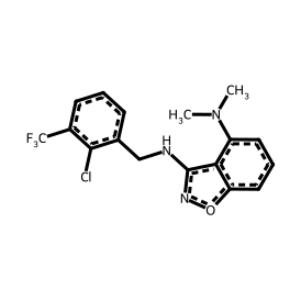 CN(C)c1cccc2onc(NCc3cccc(C(F)(F)F)c3Cl)c12